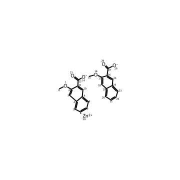 COc1cc2ccccc2cc1C(=O)[O-].COc1cc2ccccc2cc1C(=O)[O-].[Zn+2]